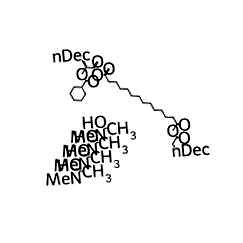 CCCCCCCCCCC=C(OC(=O)C1CCCCC1)C(=O)OC(=O)CCCCCCCCCCCCC(=O)OC(=O)CCCCCCCCCCC.CNC(C)O.CNC(C)O.CNC(C)O.CNC(C)O